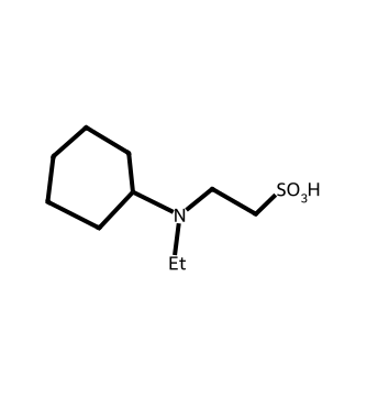 CCN(CCS(=O)(=O)O)C1CCCCC1